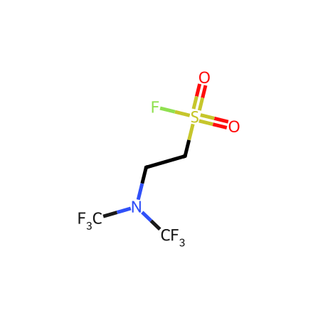 O=S(=O)(F)CCN(C(F)(F)F)C(F)(F)F